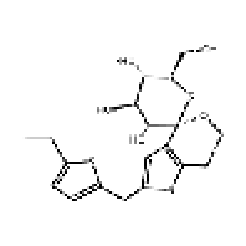 CCc1ccc(Cc2cc3c(s2)CCO[C@]32S[C@H](CO)[C@@H](O)[C@H](O)[C@H]2O)s1